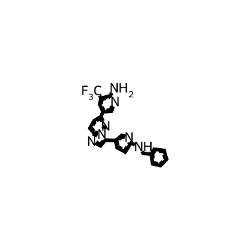 Nc1ncc(-c2ccc3ncc(-c4ccc(NCc5ccccc5)nc4)n3n2)cc1C(F)(F)F